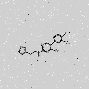 CC(=O)c1cc(-c2cnc(NCCn3ccnn3)nc2C(C)C)ccc1F